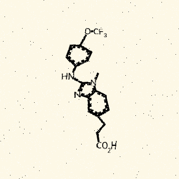 Cn1c(Nc2ccc(OC(F)(F)F)cc2)nc2cc(CCC(=O)O)ccc21